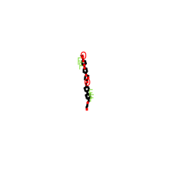 C/C=C/CCc1ccc(C2CCC(COC3CCC(C4CC=C(c5ccc(C6CO6)c(F)c5F)CC4)CC3)CC2)c(F)c1F